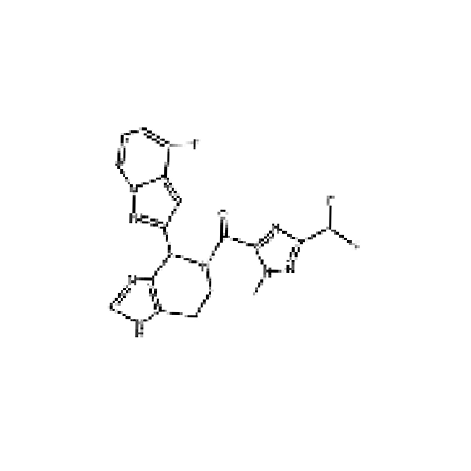 Cn1nc(C(F)F)nc1C(=O)N1CCc2[nH]cnc2C1c1cc2c(F)cccn2n1